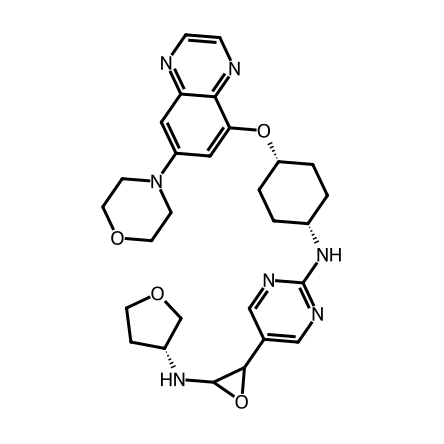 c1cnc2c(O[C@H]3CC[C@@H](Nc4ncc(C5OC5N[C@@H]5CCOC5)cn4)CC3)cc(N3CCOCC3)cc2n1